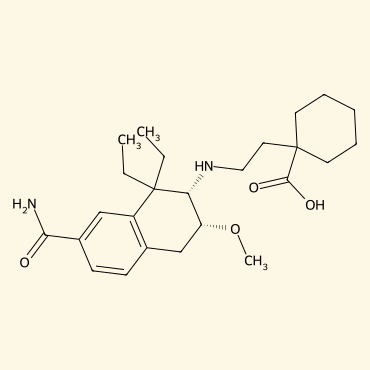 CCC1(CC)c2cc(C(N)=O)ccc2C[C@@H](OC)[C@H]1NCCC1(C(=O)O)CCCCC1